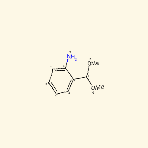 COC(OC)c1c[c]ccc1N